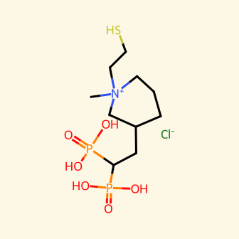 C[N+]1(CCS)CCCC(CC(P(=O)(O)O)P(=O)(O)O)C1.[Cl-]